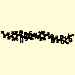 C=CC(=O)CC(C)OC(=O)CCC(=O)OCCc1ccc(N=Nc2cc3sc(NC(=O)c4ccc(CCCC)cc4)nc3s2)cc1